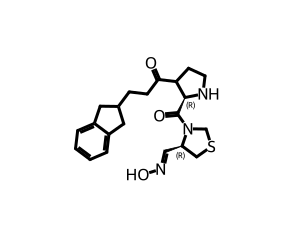 O=C(CCC1Cc2ccccc2C1)C1CCN[C@H]1C(=O)N1CSC[C@H]1C=NO